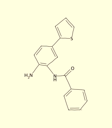 Nc1ccc(-c2cccs2)cc1NC(=O)c1cc[c]cc1